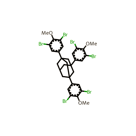 COc1c(Br)cc(C23CC4CC(c5cc(Br)c(OC)c(Br)c5)(C2)CC(c2cc(Br)c(OC)c(Br)c2)(C4)C3)cc1Br